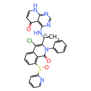 C[C@H](Nc1ncnc2[nH]ccc(=O)c12)c1c(Cl)c2cccc([S+]([O-])c3ccccn3)c2c(=O)n1-c1ccccc1